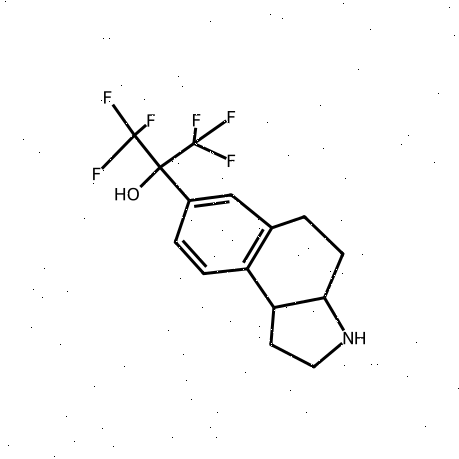 OC(c1ccc2c(c1)CCC1NCCC21)(C(F)(F)F)C(F)(F)F